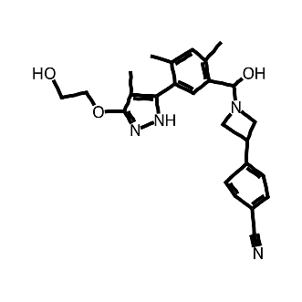 Cc1cc(C)c(C(O)N2CC(c3ccc(C#N)cc3)C2)cc1-c1[nH]nc(OCCO)c1C